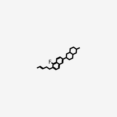 CC=CCCc1ccc2cc(C3CCC4CC(C)CCC4C3)ccc2c1F